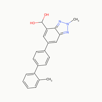 Cc1ccccc1-c1ccc(-c2cc(C(O)O)c3nn(C)nc3c2)cc1